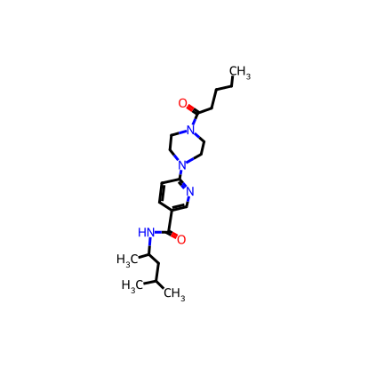 CCCCC(=O)N1CCN(c2ccc(C(=O)NC(C)CC(C)C)cn2)CC1